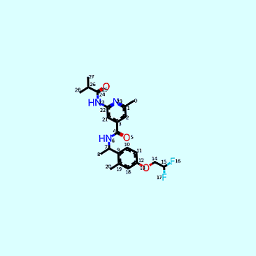 Cc1cc(C(=O)NC(C)c2ccc(OCC(F)F)cc2C)cc(NC(=O)C(C)C)n1